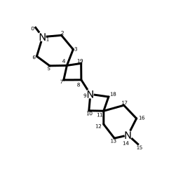 CN1CCC2(CC1)CC(N1CC3(CCN(C)CC3)C1)C2